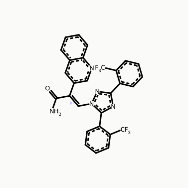 NC(=O)/C(=C/n1nc(-c2ccccc2C(F)(F)F)nc1-c1ccccc1C(F)(F)F)c1cnc2ccccc2c1